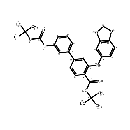 CC(C)(C)OC(=O)Oc1cccc(-c2ccc(C(=O)OC(C)(C)C)c(Nc3ccc4c(c3)OCO4)c2)c1